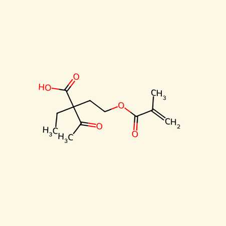 C=C(C)C(=O)OCCC(CC)(C(C)=O)C(=O)O